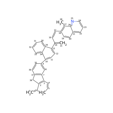 C=CC1=C(/C=C\C)c2cc(-c3ccc(C(=C)/C=C\c4ccc5cccnc5c4C)c4ccccc34)ccc2C1